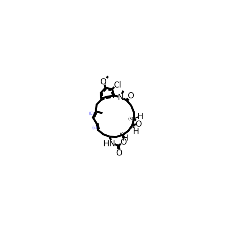 COc1cc2cc(c1Cl)N(C)C(=O)CC[C@@H]1O[C@H]1C[C@@H]1CC(C/C=C/C=C(\C)C2)NC(=O)O1